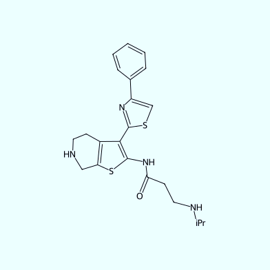 CC(C)NCCC(=O)Nc1sc2c(c1-c1nc(-c3ccccc3)cs1)CCNC2